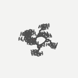 CC1(O)CC2CC(CCC[Si](O)(O)O)CC2CC2CC(CCC[Si](O)(O)O)CC(CC3CC(CCC[Si](O[Si](C)(O)O)(O[Si](C)(O)O)O[Si](C)(O)O)CC(CC4CC(CCC[Si](O)(O)O)CC1C4O)C3O[Si](O)(O)O)C2O